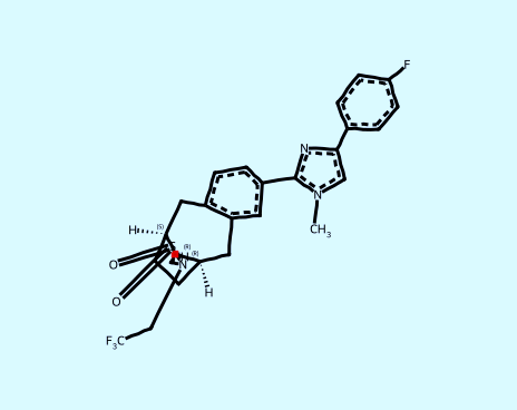 Cn1cc(-c2ccc(F)cc2)nc1-c1ccc2c(c1)C[C@H]1CC[C@@H](C2)[C@]12CN(CC(F)(F)F)S(=O)(=O)N2